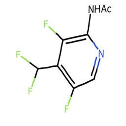 CC(=O)Nc1ncc(F)c(C(F)F)c1F